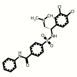 CN(C)C[C@@H](NS(=O)(=O)c1ccc(C(=O)Nc2ccccc2)cc1)c1ccc(Cl)c(Cl)c1